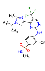 CNS(=O)(=O)c1ccc(Nc2ncc(C(F)(F)F)c(-c3cn(C(C)C)c(C)n3)n2)c(C)c1